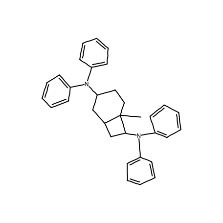 CC12CCC(N(c3ccccc3)c3ccccc3)CC1CC2N(c1ccccc1)c1ccccc1